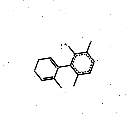 CCCc1c(C)ccc(C)c1C1=CCCC=C1C